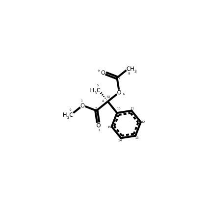 COC(=O)[C@@](C)(OC(C)=O)c1ccccc1